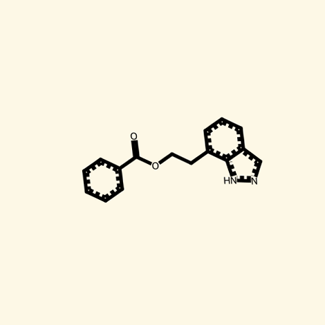 O=C(OCCc1cccc2cn[nH]c12)c1ccccc1